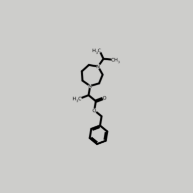 CC(C)N1CCCN(C(C)C(=O)OCc2ccccc2)CC1